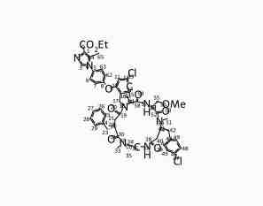 CCOC(=O)c1ncn(-c2ccc(Oc3cc(Cl)ccc3CN3C(=O)C[C@@H](Cc4ccccc4)C(=O)N(C)[C@@H](C)CNC(=O)C[C@H](Cc4ccc(Cl)cc4)N(C)C(=O)[C@H](COC)NC(=O)[C@@H]3C)cc2)c1C